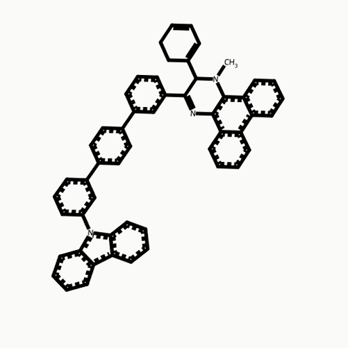 CN1c2c(c3ccccc3c3ccccc23)N=C(c2cccc(-c3ccc(-c4cccc(-n5c6ccccc6c6ccccc65)c4)cc3)c2)C1C1=CC=CCC1